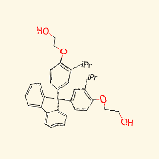 CC(C)c1cc(C2(c3ccc(OCCO)c(C(C)C)c3)c3ccccc3-c3ccccc32)ccc1OCCO